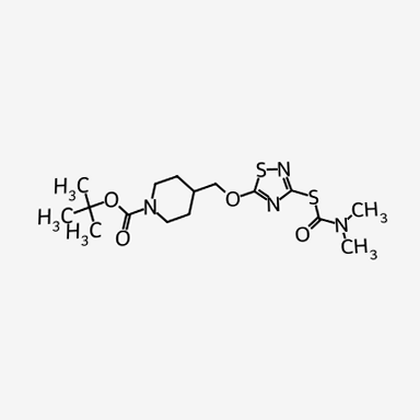 CN(C)C(=O)Sc1nsc(OCC2CCN(C(=O)OC(C)(C)C)CC2)n1